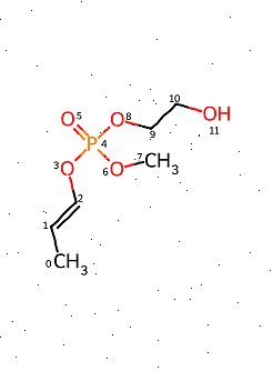 CC=COP(=O)(OC)OCCO